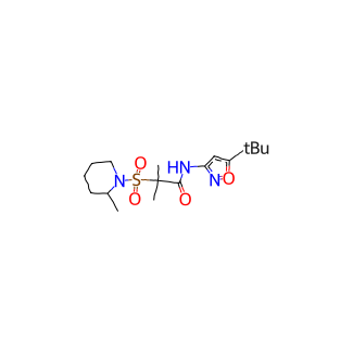 CC1CCCCN1S(=O)(=O)C(C)(C)C(=O)Nc1cc(C(C)(C)C)on1